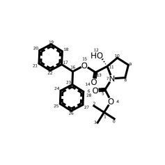 CC(C)(C)OC(=O)N1CCC[C@]1(O)C(=O)OC(c1ccccc1)c1ccccc1